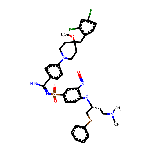 COC1(Cc2ccc(F)cc2F)CCN(c2ccc(/C(N)=N\S(=O)(=O)c3ccc(N[C@H](CCN(C)C)CSc4ccccc4)c(N=O)c3)cc2)CC1